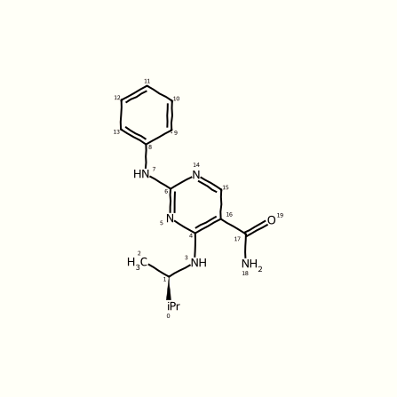 CC(C)[C@@H](C)Nc1nc(Nc2[c]cccc2)ncc1C(N)=O